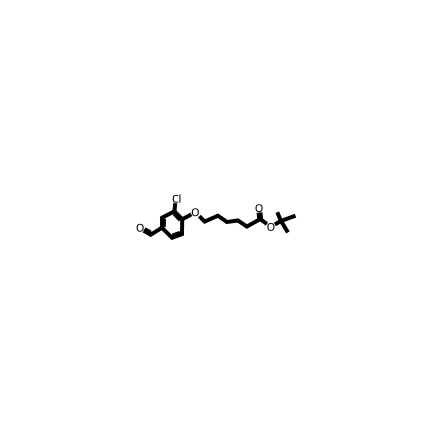 CC(C)(C)OC(=O)CCCCCOc1ccc(C=O)cc1Cl